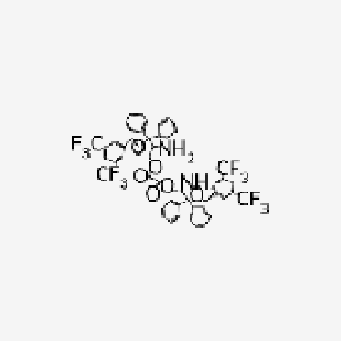 NC(COC(=O)C(=O)OCC(N)C(OCc1cc(C(F)(F)F)cc(C(F)(F)F)c1)(c1ccccc1)c1ccccc1)C(OCc1cc(C(F)(F)F)cc(C(F)(F)F)c1)(c1ccccc1)c1ccccc1